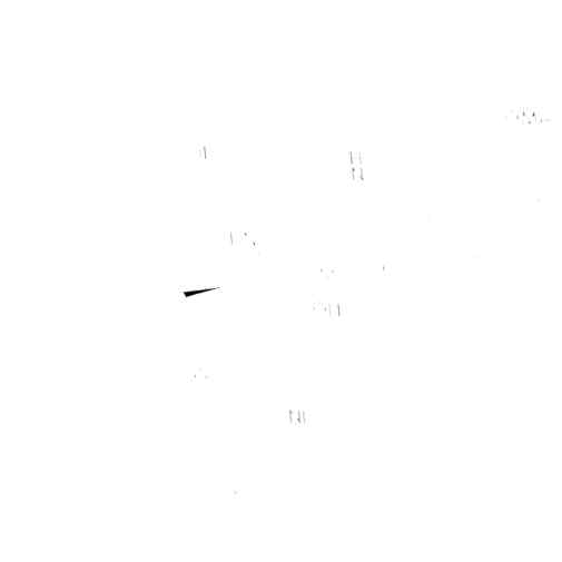 COC1=CCCC(C(=O)NC(CC(C)C)C(=O)N[C@H](Cc2ccccc2)C(O)C(=O)NC2CC2)=C1